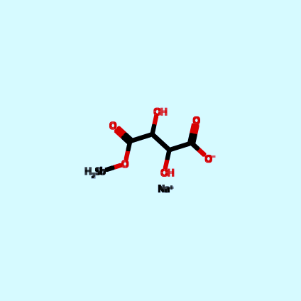 O=C([O-])C(O)C(O)C(=O)[O][SbH2].[Na+]